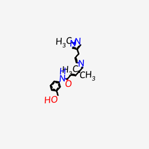 Cn1cc(C/C=C\N=C/C(C)(C)/C=C/C(=O)Nc2cccc(CO)c2)cn1